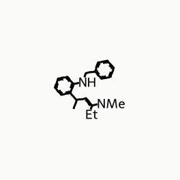 CC/C(=C\C(C)c1ccccc1NCc1ccccc1)NC